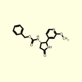 COc1cc(C2NC(=O)C[C@@H]2NC(=O)OCc2ccccc2)ccn1